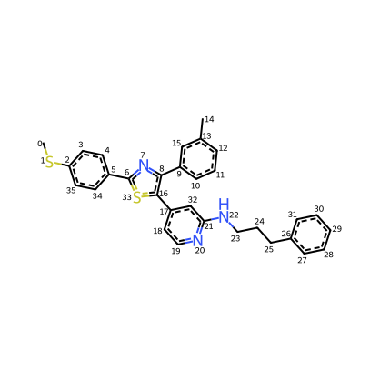 CSc1ccc(-c2nc(-c3cccc(C)c3)c(-c3ccnc(NCCCc4ccccc4)c3)s2)cc1